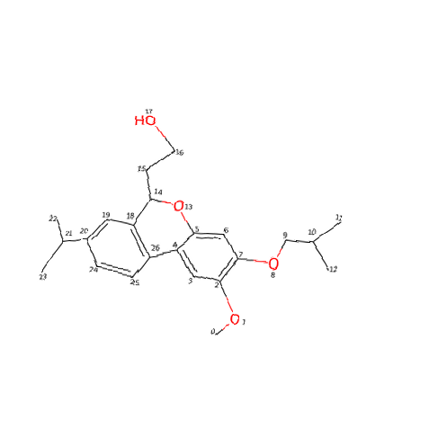 COc1cc2c(cc1OCC(C)C)OC(CCO)c1cc(C(C)C)ccc1-2